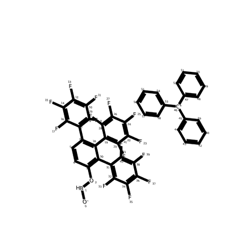 [O-]BOc1ccc(-c2c(F)c(F)c(F)c(F)c2F)c(-c2c(F)c(F)c(F)c(F)c2F)c1-c1c(F)c(F)c(F)c(F)c1F.c1ccc([C+](c2ccccc2)c2ccccc2)cc1